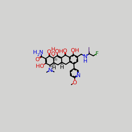 COc1ccc(-c2cc(CNC(I)CF)c(O)c3c2C[C@H]2C[C@H]4[C@H](N(C)C)C(O)=C(C(N)=O)C(=O)[C@@]4(O)C(O)=C2C3=O)cn1